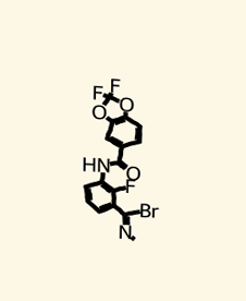 CN=C(Br)c1cccc(NC(=O)c2ccc3c(c2)OC(F)(F)O3)c1F